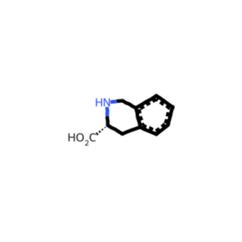 O=C(O)[C@H]1Cc2ccccc2CN1